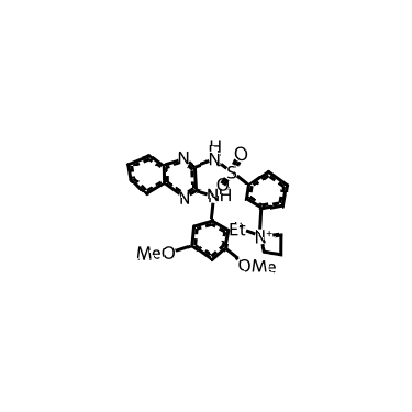 CC[N+]1(c2cccc(S(=O)(=O)Nc3nc4ccccc4nc3Nc3cc(OC)cc(OC)c3)c2)CCC1